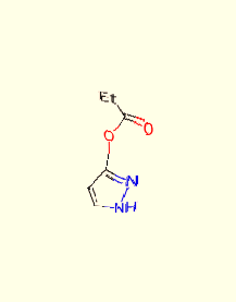 CCC(=O)Oc1cc[nH]n1